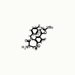 CC(C)(C)c1nnc(-c2cc3c(cc2F)S(=O)(=O)C[C@H](N)C(=O)N3Cc2ccc(F)cc2)o1